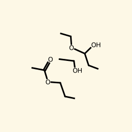 CCCOC(C)=O.CCO.CCOC(O)CC